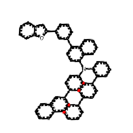 c1ccc(-c2ccc(-c3ccccc3N(c3ccc(-c4ccc5ccccc5c4)cc3)c3ccc(-c4cccc(-c5cc6ccccc6o5)c4)c4ccccc34)cc2)cc1